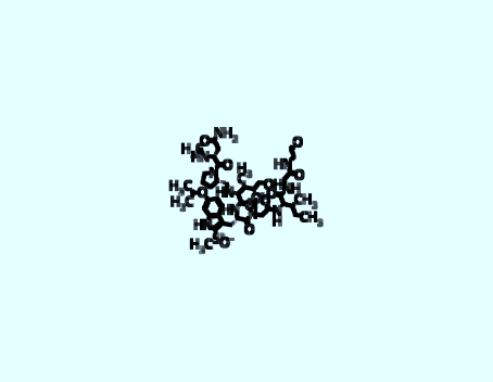 CC[C@H](C)[C@H](NC(=O)CNC(=O)[C@H](Cc1c([S+](C)[O-])[nH]c2cc(OC(C)C)ccc12)NC(=O)[C@@H](NC[C@@H]1CCCN1C(=O)[C@H](CC(N)=O)NC)[C@@H](C)[C@@H](O)CO)C(=O)NCC(=O)NCC=O